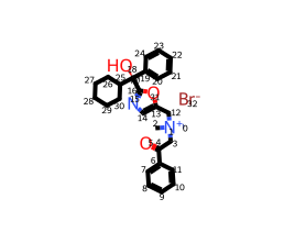 C[N+](C)(CC(=O)c1ccccc1)Cc1cnc([C@](O)(c2ccccc2)C2CCCCC2)o1.[Br-]